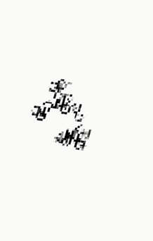 CC(C)(C)OC(=O)N=C(NCCc1ccc(OCCC2Oc3cc([N+](=O)[O-])ccc3N(Cc3cccc([N+](=O)[O-])c3)C2=O)cc1)NC(=O)OC(C)(C)C